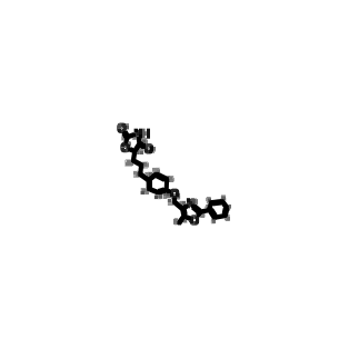 Cc1oc(-c2ccccc2)nc1COc1ccc(CCCC2OC(=O)NC2=O)cc1